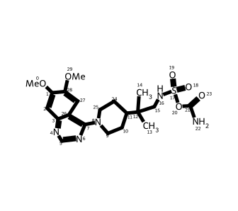 COc1cc2ncnc(N3CCC(C(C)(C)CNS(=O)(=O)OC(N)=O)CC3)c2cc1OC